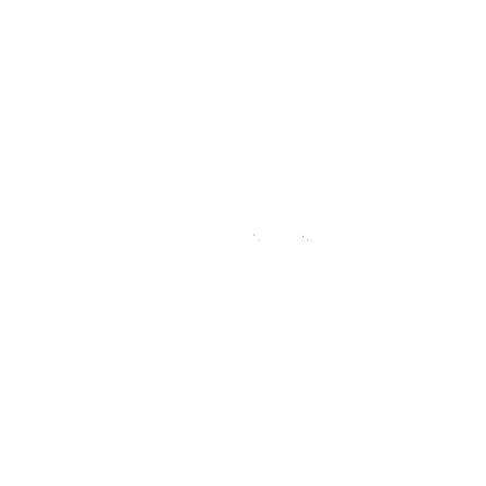 Cc1c[c]c(N2CCNCC2)cc1